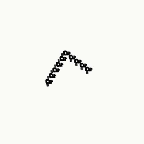 [Cu].[Cu].[Cu].[Cu].[Cu].[Cu].[Cu].[Cu].[Cu].[Cu]